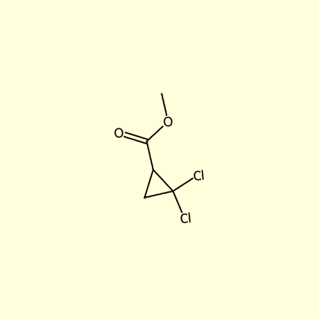 COC(=O)C1CC1(Cl)Cl